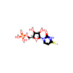 O=c1[nH]c(=S)ccn1[C@H]1O[C@@H](COP(=O)(O)O)C(O)C1O